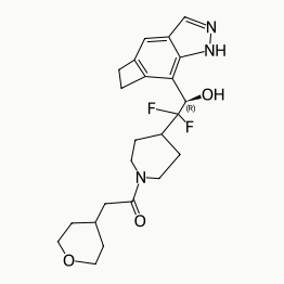 O=C(CC1CCOCC1)N1CCC(C(F)(F)[C@H](O)c2c3c(cc4cn[nH]c24)CC3)CC1